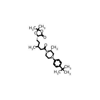 CC(CC[C@@H]1OC(C)(C)OC1=O)CC(=O)N1CCN(c2ccc(C(C)(C)C)cc2)C[C@H]1C